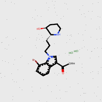 COC(=O)c1cn(CCC[C@H]2NCCC[C@@H]2O)c2c(Br)cccc12.Cl.Cl